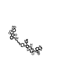 COc1cc(N2CCN(CCCCCNc3cccc4c3C(=O)N(C3CCC(=O)NC3=O)C4=O)CC2)c(-c2cnn(C)c2)cc1Nc1ncc(Cl)c(Nc2ccc3nccnc3c2P(C)(C)=O)n1